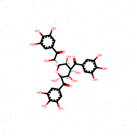 O=C(c1cc(O)c(O)c(O)c1)C(O)[C@H]1O[C@](O)(C(=O)c2cc(O)c(O)c(O)c2)[C@H](O)[C@](O)(C(=O)c2cc(O)c(O)c(O)c2)[C@@H]1O